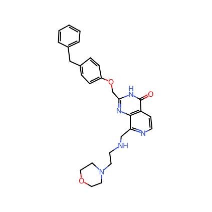 O=c1[nH]c(COc2ccc(Cc3ccccc3)cc2)nc2c(CNCCN3CCOCC3)nccc12